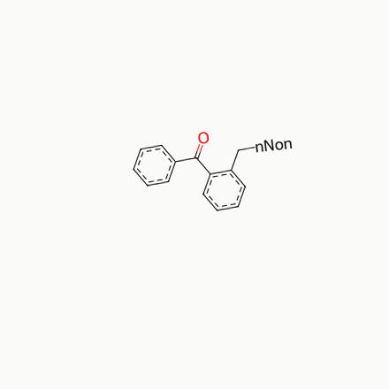 CCCCCCCCCCc1ccccc1C(=O)c1ccccc1